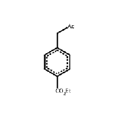 CCOC(=O)c1ccc(CC(C)=O)cc1